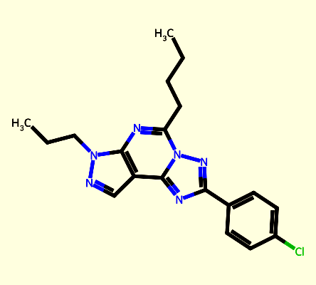 CCCCc1nc2c(cnn2CCC)c2nc(-c3ccc(Cl)cc3)nn12